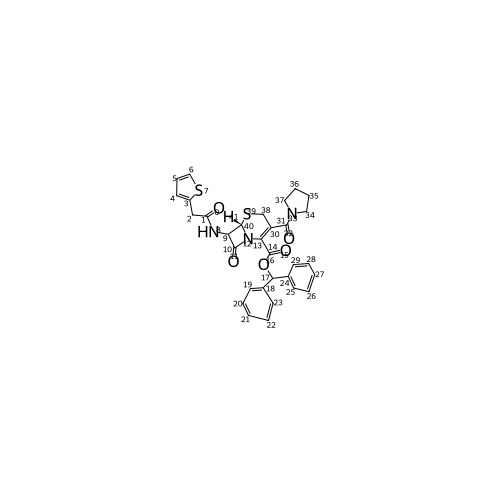 O=C(Cc1cccs1)NC1C(=O)N2C(C(=O)OC(c3ccccc3)c3ccccc3)=C(C(=O)N3CCCC3)CS[C@@H]12